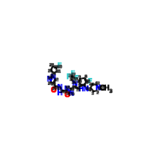 CN1CC[C@@H](Nc2cccc3c2cc(-c2noc(CNC(=O)c4cnn(C5CCC(F)C5)c4)n2)n3CC(F)(F)F)[C@@H](F)C1